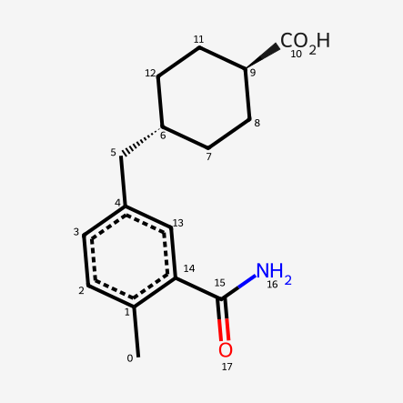 Cc1ccc(C[C@H]2CC[C@H](C(=O)O)CC2)cc1C(N)=O